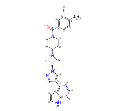 Cc1ccc(C(=O)N2CCC(N3C[C](n4cc(-c5ncnc6[nH]ccc56)cn4)C3)CC2)cc1F